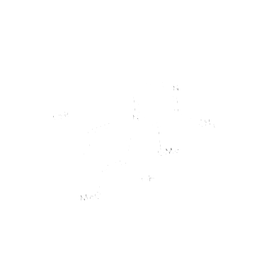 COc1cc(C=O)ccc1O.COc1nccnc1C